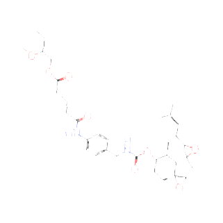 CCC(COC(=O)CCCC(=O)Nc1ccc(CNC(=O)O[C@@H]2CC[C@]3(CO3)[C@@H](C3(C)O[C@@H]3CC=C(C)C)[C@@H]2C)cc1)OC